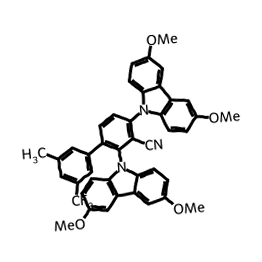 COc1ccc2c(c1)c1cc(OC)ccc1n2-c1ccc(-c2cc(C)cc(C(F)(F)F)c2)c(-n2c3ccc(OC)cc3c3cc(OC)ccc32)c1C#N